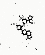 CC(=O)Nc1cc(Nc2cc(C3(CO)CCOC3)cc(S(C)(=O)=O)n2)c(-c2ccc3c(n2)OCc2cnn(C)c2-3)cn1